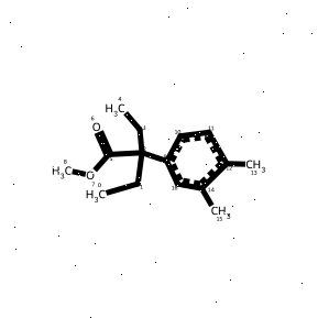 CCC(CC)(C(=O)OC)c1ccc(C)c(C)c1